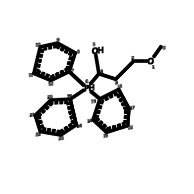 COCCC(O)[PH](c1ccccc1)(c1ccccc1)c1ccccc1